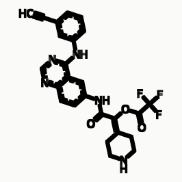 C#Cc1cccc(Nc2ncnc3ccc(NC(=O)C(OC(=O)C(F)(F)F)=C4CCNCC4)cc23)c1